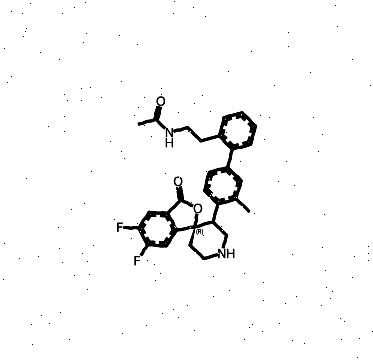 CC(=O)NCCc1ccccc1-c1ccc(C2CNCC[C@@]23OC(=O)c2cc(F)c(F)cc23)c(C)c1